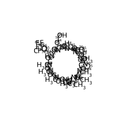 CC[C@H](C)[C@@H]1NC(=O)[C@H](CC(C)C)N(C)C(=O)C[C@@H](C(=O)N2CCCCC2)N(C)C(=O)C(C2CCCCC2)N(C)C(=O)C2(CCCC2)NC(=O)[C@@H]2C[C@H](OCCO)CN2C(=O)[C@H](CCc2ccc(C(F)(F)F)c(Cl)c2)NC(=O)CN(C)C(=O)N(C)C(=O)CN(C)C(=O)CN(C)C1=O